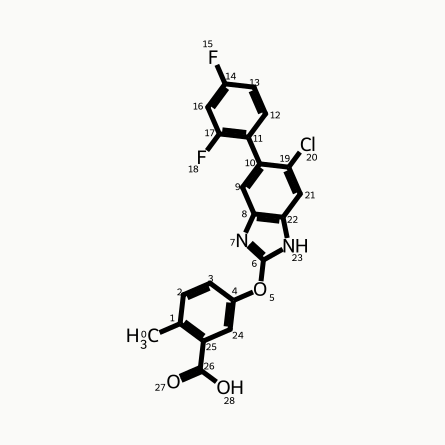 Cc1ccc(Oc2nc3cc(-c4ccc(F)cc4F)c(Cl)cc3[nH]2)cc1C(=O)O